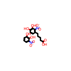 O=C(O)CCCCc1ccc(O)c(O)c1[N+](=O)[O-].O=[N+]([O-])c1cccc(O)c1O